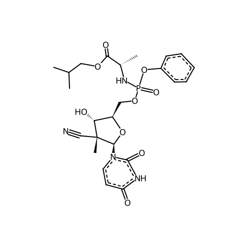 CC(C)COC(=O)[C@H](C)NP(=O)(OC[C@H]1O[C@@H](n2ccc(=O)[nH]c2=O)[C@](C)(C#N)[C@@H]1O)Oc1ccccc1